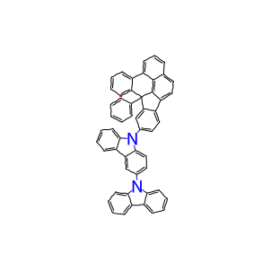 c1ccc(C23c4cc(-n5c6ccccc6c6cc(-n7c8ccccc8c8ccccc87)ccc65)ccc4-c4ccc5cccc(c5c42)-c2ccccc23)cc1